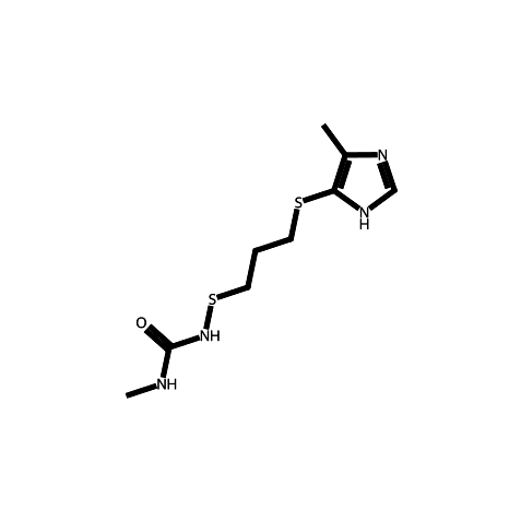 CNC(=O)NSCCCSc1[nH]cnc1C